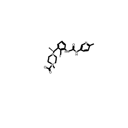 Cc1ccc(NC(=O)Nc2cccc([C@H](C)N3CC[N+](C)(C(=O)[O-])CC3)c2F)cn1